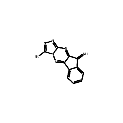 CCc1nnc2nc3c(nn12)-c1ccccc1C3=N